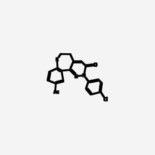 CC(=O)c1ccc2c(c1)-c1nn(-c3ccc(Cl)cc3)c(=O)cc1CCS2